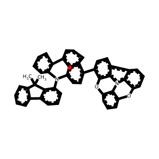 CC1(C)c2ccccc2-c2cccc(N(c3ccc(-c4ccc5c6cccc7c6n6c5c4Oc4cccc(c4-6)O7)cc3)c3ccccc3-c3ccccc3)c21